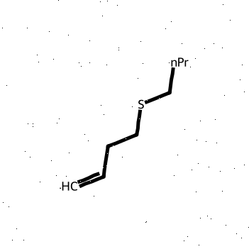 [CH]=CCCSCCCC